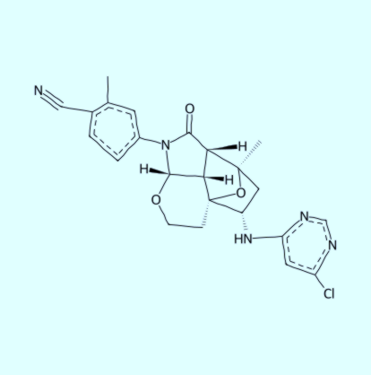 Cc1cc(N2C(=O)[C@H]3[C@H]4[C@@H]2OCC[C@@]42O[C@]3(C)C[C@@H]2Nc2cc(Cl)ncn2)ccc1C#N